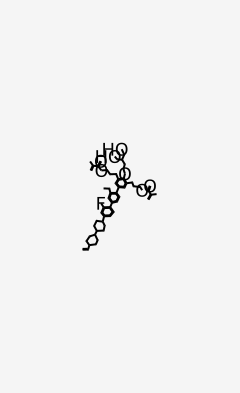 C=CC1CCC(C2CCC(c3ccc(-c4ccc(-c5cc(CCCOC(=O)C(=C)C)c(OCCC(CO)CO)c(CCCOC(=O)C(=C)C)c5)c(CC)c4)c(F)c3)CC2)CC1